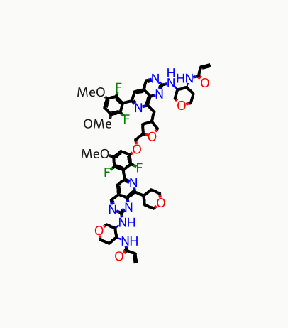 C=CC(=O)N[C@H]1CCOC[C@H]1Nc1ncc2cc(-c3c(F)c(OC)cc(OC)c3F)nc(CC3COC(COc4cc(OC)c(F)c(-c5cc6cnc(N[C@@H]7COCC[C@@H]7NC(=O)C=C)nc6c(C6CCOCC6)n5)c4F)C3)c2n1